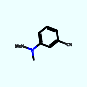 CNN(C)c1cccc(C#N)c1